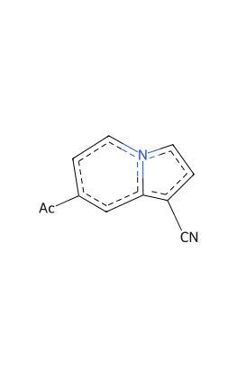 CC(=O)c1ccn2ccc(C#N)c2c1